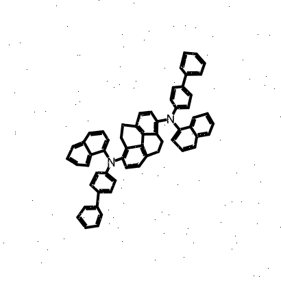 c1ccc(-c2ccc(N(c3ccc4c5c3CCc3ccc(N(c6ccc(-c7ccccc7)cc6)c6cccc7ccccc67)c(c3-5)CC4)c3cccc4ccccc34)cc2)cc1